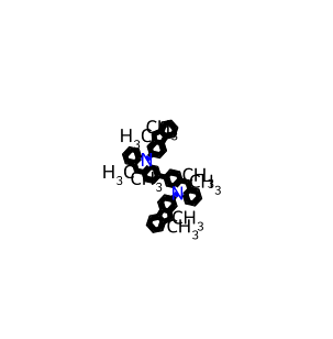 CC1(C)c2ccccc2-c2ccc(N3c4ccccc4C(C)(C)c4ccc(-c5ccc6c(c5)N(c5ccc7c(c5)C(C)(C)c5ccccc5-7)c5ccccc5C6(C)C)cc43)cc21